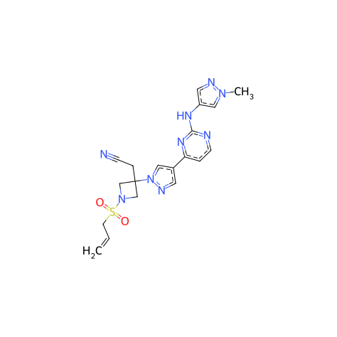 C=CCS(=O)(=O)N1CC(CC#N)(n2cc(-c3ccnc(Nc4cnn(C)c4)n3)cn2)C1